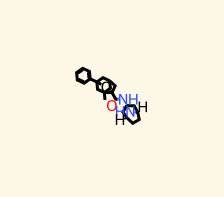 CC12CC3CC(c4ccccc4)(C1)CC2(C(=O)NC1C[C@H]2CC[C@H](C1)N2)C3